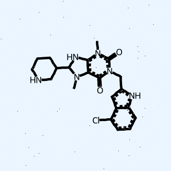 CN1c2c(n(C)c(=O)n(Cc3cc4c(Cl)cccc4[nH]3)c2=O)NC1C1CCCNC1